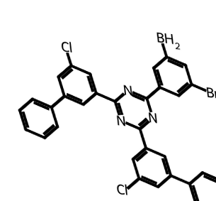 Bc1cc(Br)cc(-c2nc(-c3cc(Cl)cc(-c4ccccc4)c3)nc(-c3cc(Cl)cc(-c4ccccc4)c3)n2)c1